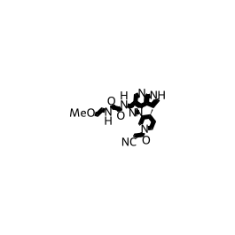 COCCNC(=O)C(=O)Nc1nn([C@H]2CN(C(=O)CC#N)CC[C@H]2C)c2c1cnc1[nH]ccc12